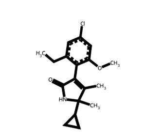 CCc1cc(Cl)cc(OC)c1C1=C(C)C(C)(C2CC2)NC1=O